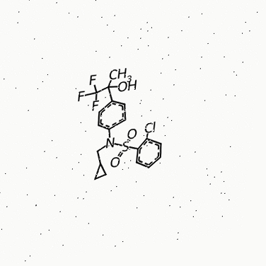 CC(O)(c1ccc(N(CC2CC2)S(=O)(=O)c2ccccc2Cl)cc1)C(F)(F)F